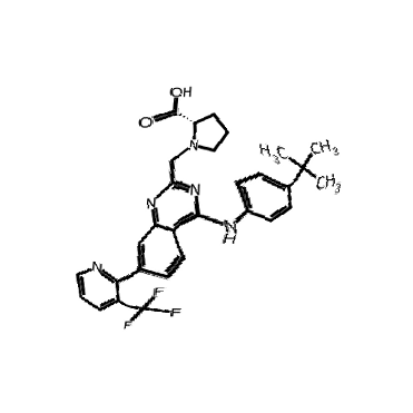 CC(C)(C)c1ccc(Nc2nc(CN3CCC[C@H]3C(=O)O)nc3cc(-c4ncccc4C(F)(F)F)ccc23)cc1